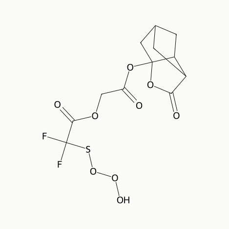 O=C(COC(=O)C(F)(F)SOOO)OC12CC3CC(C(=O)O1)C2C3